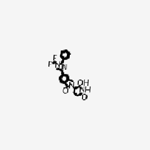 O=C1CCC(N2Cc3cc(-c4cn(C(F)F)c(-c5ccccc5)n4)ccc3C2=O)C(O)N1